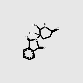 C[C@]1(N2C(=O)c3ccccc3C2=O)CCC(=O)NC1O